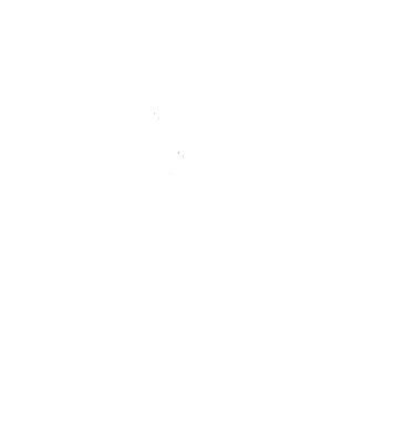 OC1(C(CN2CCNCC2)c2ccc(-c3ccc(Cl)c(Cl)c3)cc2)CCCCC1